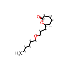 CCCCCCOCCCC1CCCCC(=O)O1